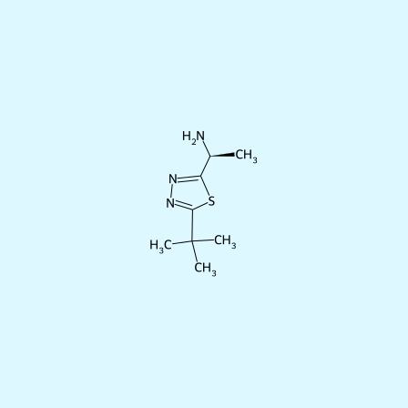 C[C@H](N)c1nnc(C(C)(C)C)s1